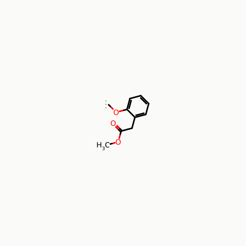 [C]Oc1ccccc1CC(=O)OC